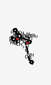 CC(=O)O[C@@]12CO[C@@H]1C[C@H](O)[C@@](C)(C(=O)[C@@H](C)O)[C@@H]2[C@H](OC(=O)c1ccccc1)[C@@]1(O)C[C@H](OC(=O)[C@H](OC(=O)COCCOCCNC(=O)OCc2ccccc2)[C@@H](NC(=O)OC(C)(C)C)c2ccccc2)C(C)=CC(C)(C)C1